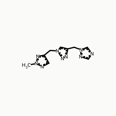 Cn1ncc(Cn2cc(Cn3cncn3)nn2)n1